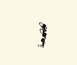 CC(=O)O/N=C(\C)C(=O)c1ccc(Sc2cccc(OCCO)c2)cc1